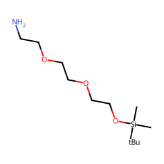 CC(C)(C)[Si](C)(C)OCCOCCOCCN